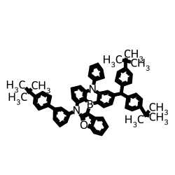 CC(C)(C)c1ccc(-c2cccc(N3c4cccc5c4B(c4ccc(C(c6ccc(C(C)(C)C)cc6)c6ccc(C(C)(C)C)cc6)cc4N5c4ccccc4)c4c3oc3ccccc43)c2)cc1